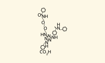 C=C(NCc1ccccc1)c1ccc(Nc2nc(NCCOCCOCCNC(=O)c3ccccc3)nc(NCc3ccc(C(=O)O)cc3)n2)cc1